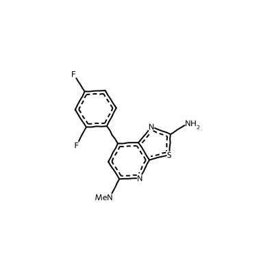 CNc1cc(-c2ccc(F)cc2F)c2nc(N)sc2n1